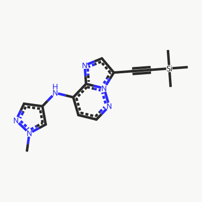 Cn1cc(Nc2ccnn3c(C#C[Si](C)(C)C)cnc23)cn1